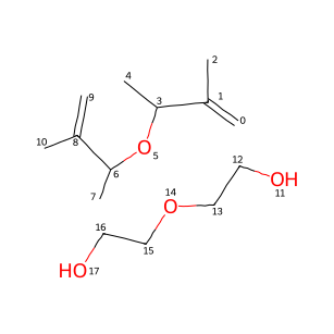 C=C(C)C(C)OC(C)C(=C)C.OCCOCCO